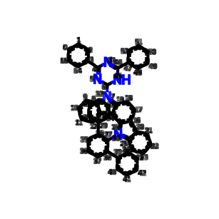 c1ccc(C2=NC(n3c4ccccc4c4c5c(ccc43)c3ccccc3n5-c3c(-c4ccccc4)cccc3-c3ccccc3)NC(c3ccccc3)=N2)cc1